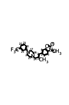 C/C(=C\c1ccc2c(c1)oc(=O)n2C)CN1CCN(c2cccc(C(F)(F)F)c2)CC1